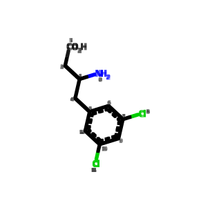 NC(CC(=O)O)Cc1cc(Cl)cc(Cl)c1